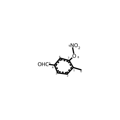 Cc1ccc(C=O)cc1O[N+](=O)[O-]